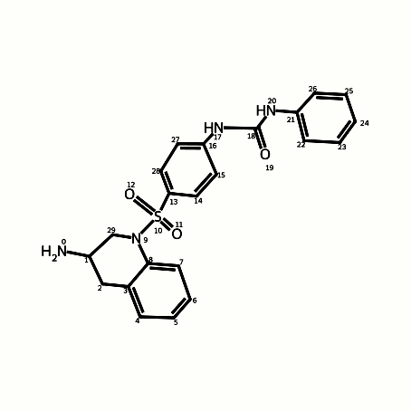 NC1Cc2ccccc2N(S(=O)(=O)c2ccc(NC(=O)Nc3ccccc3)cc2)C1